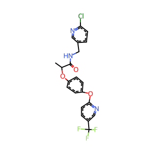 CC(Oc1ccc(Oc2ccc(C(F)(F)F)cn2)cc1)C(=O)NCc1ccc(Cl)nc1